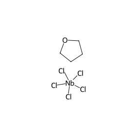 C1CCOC1.[Cl][Nb]([Cl])([Cl])([Cl])[Cl]